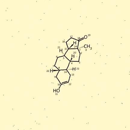 C[C@]12CC[C@H]3[C@@H](CC[C@H]4CC(O)=CC[C@@H]43)[C@@H]1CCC2=O